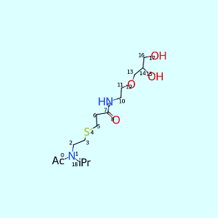 CC(=O)N(CCSCCC(=O)NCCOCC(O)CO)C(C)C